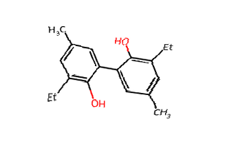 CCc1cc(C)cc(-c2cc(C)cc(CC)c2O)c1O